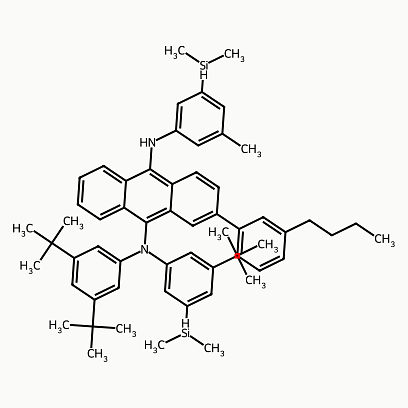 CCCCc1cccc(-c2ccc3c(Nc4cc(C)cc([SiH](C)C)c4)c4ccccc4c(N(c4cc([SiH](C)C)cc(C(C)(C)C)c4)c4cc(C(C)(C)C)cc(C(C)(C)C)c4)c3c2)c1